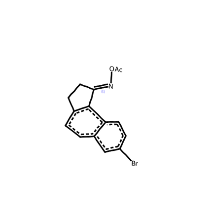 CC(=O)O/N=C1\CCc2ccc3cc(Br)ccc3c21